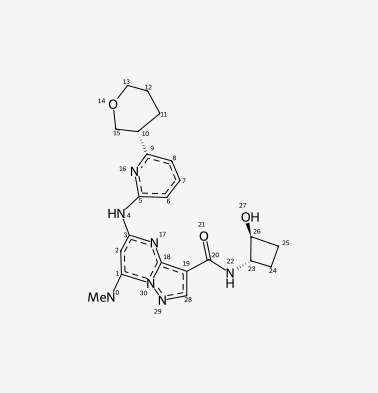 CNc1cc(Nc2cccc([C@H]3CCCOC3)n2)nc2c(C(=O)N[C@H]3CC[C@@H]3O)cnn12